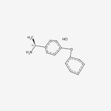 C[C@H](N)c1ccc(Oc2ccccc2)cc1.Cl